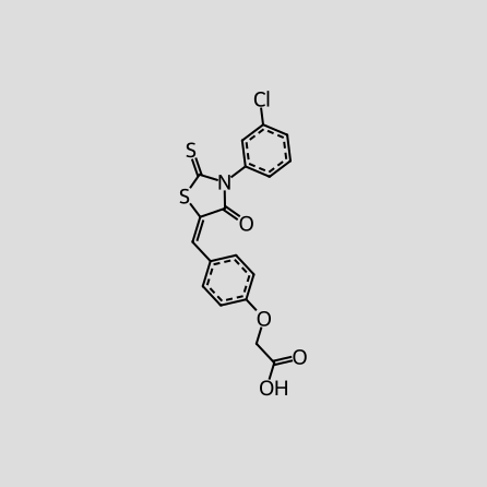 O=C(O)COc1ccc(C=C2SC(=S)N(c3cccc(Cl)c3)C2=O)cc1